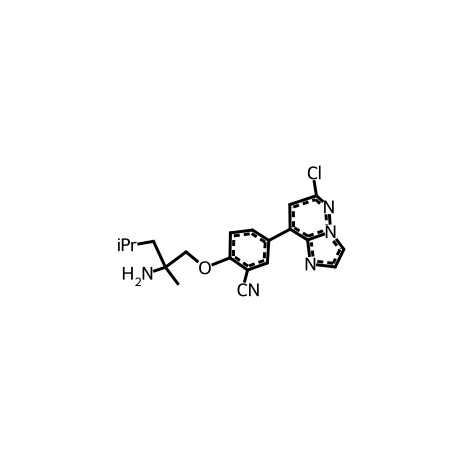 CC(C)CC(C)(N)COc1ccc(-c2cc(Cl)nn3ccnc23)cc1C#N